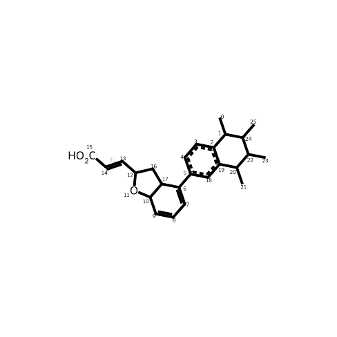 CC1c2ccc(C3=CC=CC4OC(/C=C/C(=O)O)CC34)cc2C(C)C(C)C1C